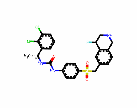 C[C@@H](NC(=O)Nc1ccc(S(=O)(=O)Cc2ccc3c(c2)C(F)CNC3)cc1)c1cccc(Cl)c1Cl